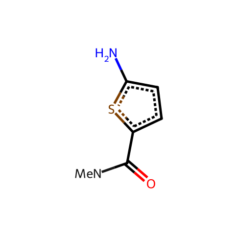 CNC(=O)c1ccc(N)s1